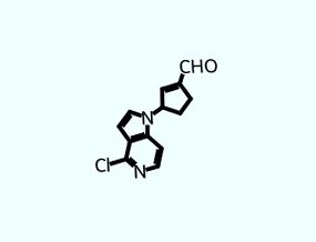 O=CC1=CC(n2ccc3c(Cl)nccc32)CC1